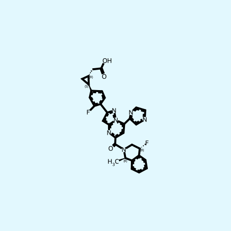 C[C@@H]1c2ccccc2[C@@H](F)CN1C(=O)c1cc(-c2cnccn2)n2nc(-c3ccc([C@H]4C[C@@H]4CC(=O)O)cc3F)cc2n1